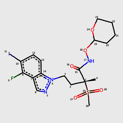 C[C@@](CCn1ncc2c(F)c(I)ccc21)(C(=O)NOC1CCCCO1)S(C)(=O)=O